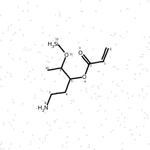 C=CC(=O)OC(CCN)C(C)O[SiH3]